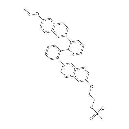 C=COc1ccc2cc(-c3ccccc3-c3ccccc3-c3ccc4cc(OCCOS(C)(=O)=O)ccc4c3)ccc2c1